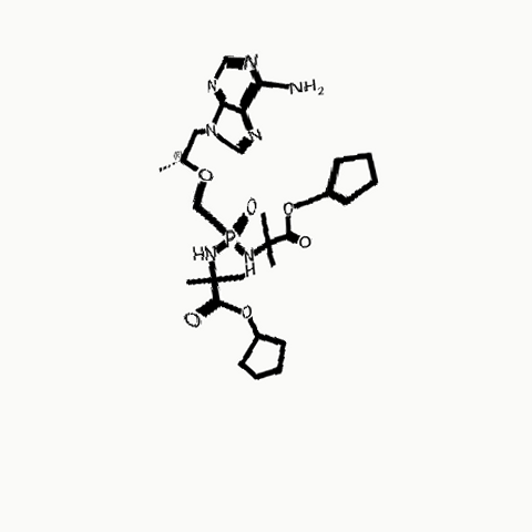 C[C@H](Cn1cnc2c(N)ncnc21)OCP(=O)(NC(C)(C)C(=O)OC1CCCC1)NC(C)(C)C(=O)OC1CCCC1